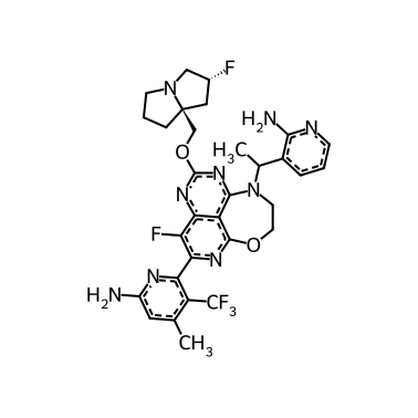 Cc1cc(N)nc(-c2nc3c4c(nc(OC[C@@]56CCCN5C[C@H](F)C6)nc4c2F)N(C(C)c2cccnc2N)CCO3)c1C(F)(F)F